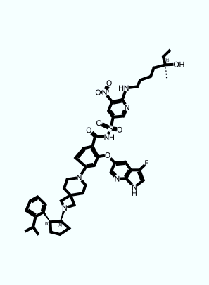 CC[C@@](C)(O)CCCCNc1ncc(S(=O)(=O)NC(=O)c2ccc(N3CCC4(CC3)CN([C@H]3CCC[C@H]3c3ccccc3C(C)C)C4)cc2Oc2cnc3[nH]cc(F)c3c2)cc1[N+](=O)[O-]